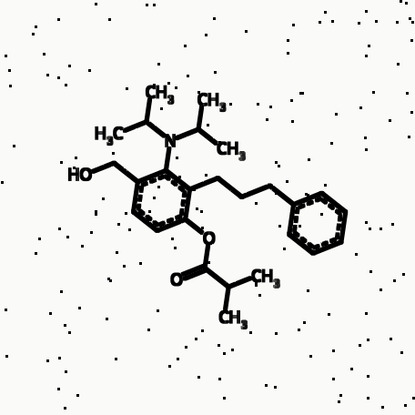 CC(C)C(=O)Oc1ccc(CO)c(N(C(C)C)C(C)C)c1CCCc1ccccc1